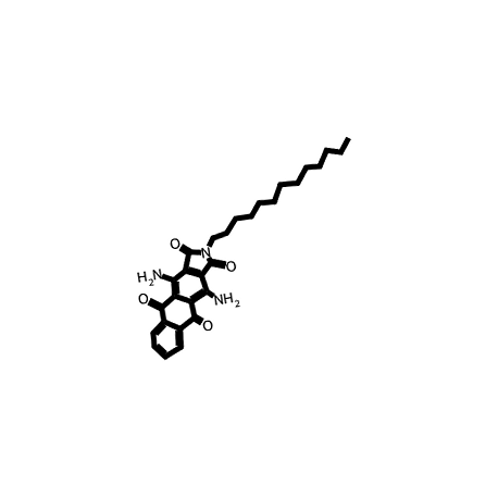 CCCCCCCCCCCCCn1c(=O)c2c(N)c3c(=O)c4ccccc4c(=O)c3c(N)c2c1=O